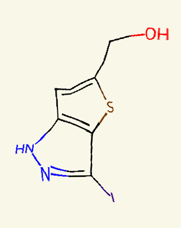 OCc1cc2[nH]nc(I)c2s1